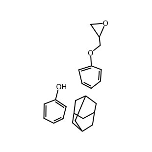 C1C2CC3CC1CC(C2)C3.Oc1ccccc1.c1ccc(OCC2CO2)cc1